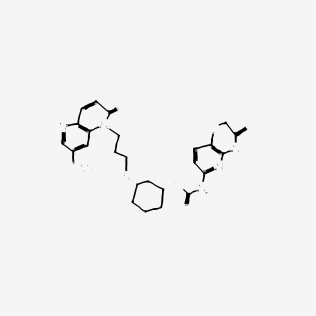 COc1cnc2ccc(=O)n(CCCN[C@H]3CCC[C@@H](OC(=O)N(C)c4ccc5c(n4)NC(=O)CS5)C3)c2c1